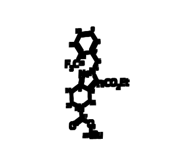 CCOC(=O)c1c2c(nn1Cc1ccccc1C(F)(F)F)CCN(C(=O)OC(C)(C)C)C2